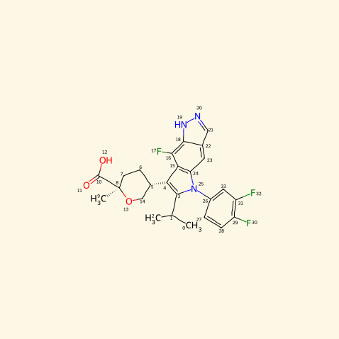 CC(C)c1c([C@H]2CC[C@](C)(C(=O)O)OC2)c2c(F)c3[nH]ncc3cc2n1-c1ccc(F)c(F)c1